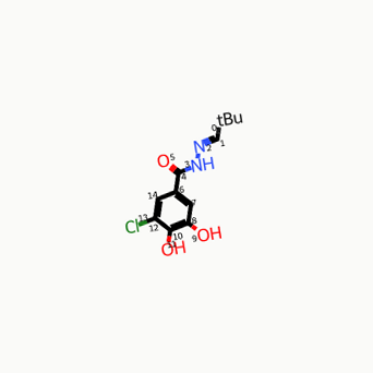 CC(C)(C)/C=N/NC(=O)c1cc(O)c(O)c(Cl)c1